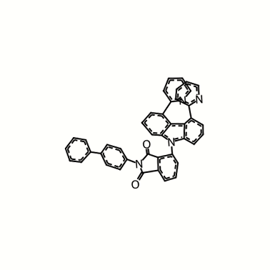 O=C1c2cccc(-n3c4cccc(-c5ccccn5)c4c4c(-c5ccccn5)cccc43)c2C(=O)N1c1ccc(-c2ccccc2)cc1